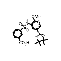 COc1ncc(B2OC(C)(C)C(C)(C)O2)cc1NS(=O)(=O)c1cccc(C(=O)O)c1